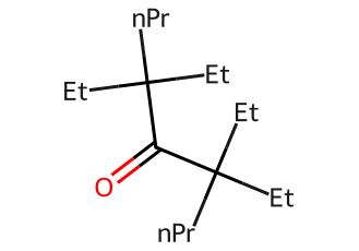 CCCC(CC)(CC)C(=O)C(CC)(CC)CCC